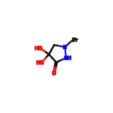 CC(C)N1CC(O)(O)C(=O)N1